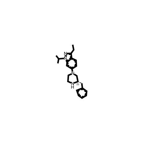 CCc1nn(C(C)C)c2cc(N3CCN[C@@H](Cc4ccccc4)C3)ccc12